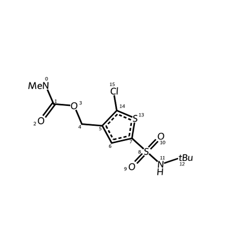 CNC(=O)OCc1cc(S(=O)(=O)NC(C)(C)C)sc1Cl